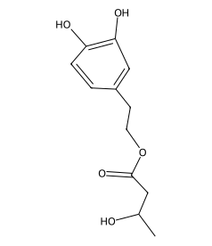 CC(O)CC(=O)OCCc1ccc(O)c(O)c1